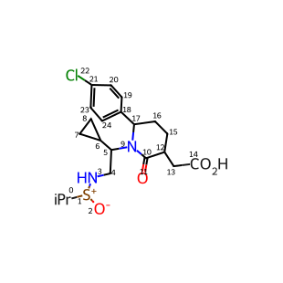 CC(C)[S+]([O-])NCC(C1CC1)N1C(=O)C(CC(=O)O)CCC1c1ccc(Cl)cc1